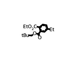 CCOC(=O)c1ccc(CC)cc1C(=O)OCC(C)(C)C